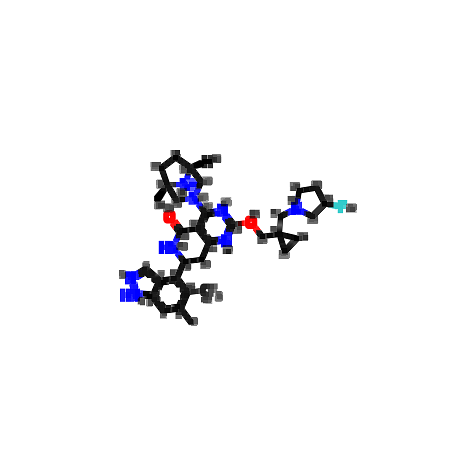 Cc1cc2[nH]ncc2c(C2Cc3nc(OCC4(CN5CC[C@@H](F)C5)CC4)nc(N4C[C@H]5CC[C@@](C)(C4)N5)c3C(=O)N2)c1C(F)(F)F